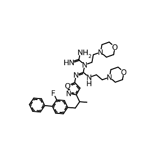 CC(Cc1ccc(-c2ccccc2)c(F)c1)c1cc(N=C(NCCN2CCOCC2)N(CCN2CCOCC2)C(=N)N)on1